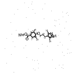 COC(=O)c1cc(C)c(OCCCc2c(C)n[nH]c2C)c(C)c1